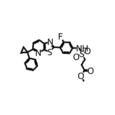 COC(=O)CCS(=O)(=O)Nc1ccc(-c2nc3ccc(C4(c5ccccc5)CC4)nc3s2)c(F)c1